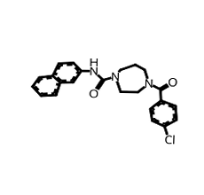 O=C(Nc1ccc2ccccc2c1)N1CCCN(C(=O)c2ccc(Cl)cc2)CC1